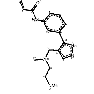 C=CC(=O)Nc1cccc(-c2[nH]ncc2CN(C)CCNC)c1